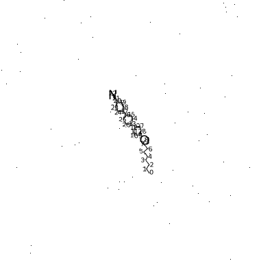 CCCCCCCCOc1ccc(C2CCC(c3ccc(C#N)cc3)CC2)cc1